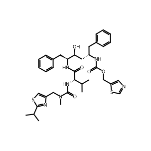 CC(C)c1nc(CN(C)C(=O)N[C@H](C(=O)N[C@@H](Cc2ccccc2)[C@@H](O)C[C@H](Cc2ccccc2)NC(=O)OCc2cncs2)C(C)C)cs1